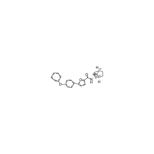 O=C(N[C@@H]1C[C@H]2CC[C@@H]1N2)c1ccc(-c2ccc(Oc3ccccc3)cc2)o1